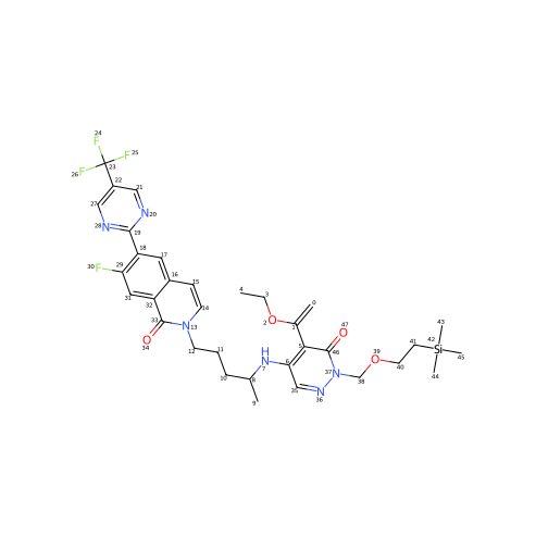 C=C(OCC)c1c(NC(C)CCCn2ccc3cc(-c4ncc(C(F)(F)F)cn4)c(F)cc3c2=O)cnn(COCC[Si](C)(C)C)c1=O